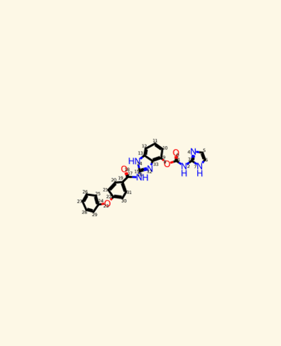 O=C(Nc1ncc[nH]1)Oc1cccc2[nH]c(NC(=O)c3ccc(Oc4ccccc4)cc3)nc12